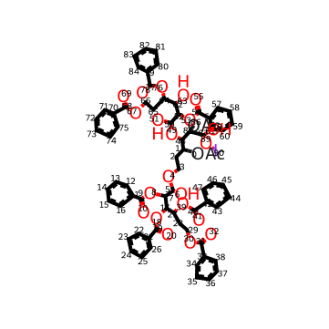 CC(=O)OC(CCOC(O)C(OC(=O)c1ccccc1)C(OC(=O)c1ccccc1)C(CCOC(=O)c1ccccc1)OC(=O)c1ccccc1)C(OC(O)C(OC(=O)c1ccccc1)C(O)C(CCOC(=O)c1ccccc1)OC(=O)c1ccccc1)C(OC(C)=O)C(O)OI